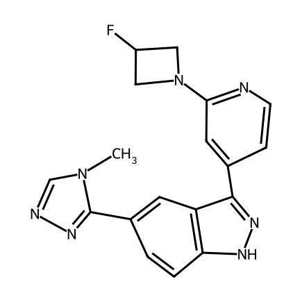 Cn1cnnc1-c1ccc2[nH]nc(-c3ccnc(N4CC(F)C4)c3)c2c1